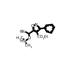 CCOC(=O)c1c(-c2ccccc2)noc1C(O[SiH](C)C)C(C)(C)C